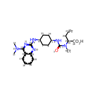 CCN(C(=O)N[C@H]1CC[C@@H](Nc2nc(N(C)C)c3ccccc3n2)CC1)[C@@H](CC(C)C)C(=O)O